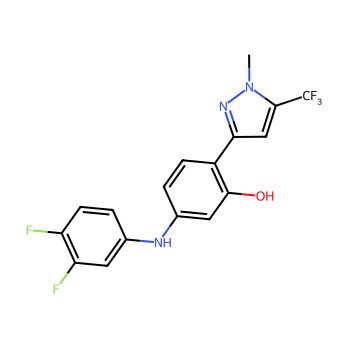 Cn1nc(-c2ccc(Nc3ccc(F)c(F)c3)cc2O)cc1C(F)(F)F